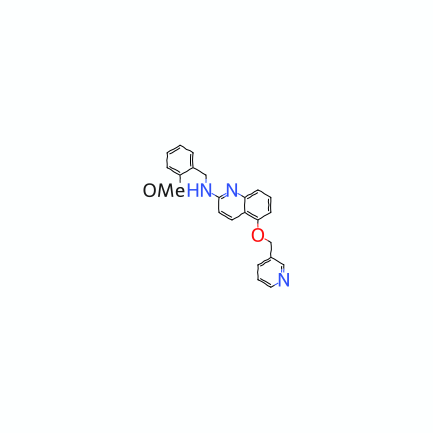 COc1ccccc1CNc1ccc2c(OCc3cccnc3)cccc2n1